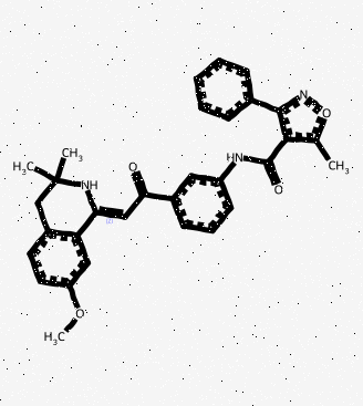 COc1ccc2c(c1)/C(=C/C(=O)c1cccc(NC(=O)c3c(-c4ccccc4)noc3C)c1)NC(C)(C)C2